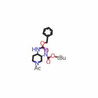 CC(=O)N1CC[C@@H](NC(=O)OCc2ccccc2)[C@H](NC(=O)OC(C)(C)C)C1